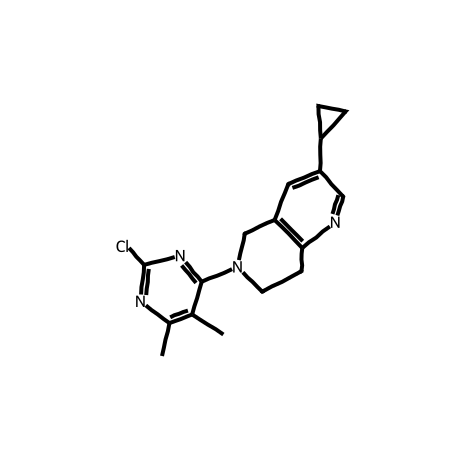 Cc1nc(Cl)nc(N2CCc3ncc(C4CC4)cc3C2)c1C